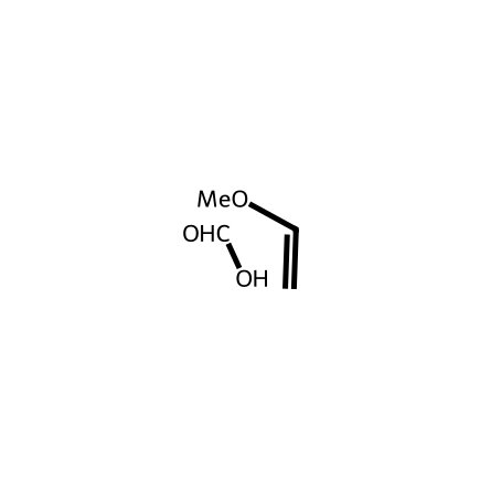 C=COC.O=CO